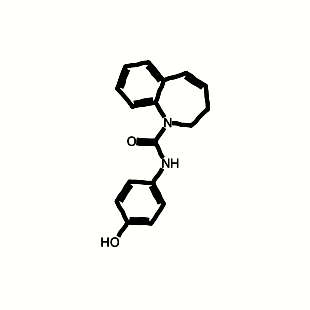 O=C(Nc1ccc(O)cc1)N1CCC=Cc2ccccc21